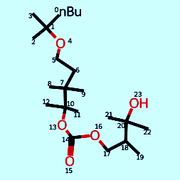 CCCCC(C)(C)OCCC(C)(C)C(C)(C)OC(=O)OCC(C)C(C)(C)O